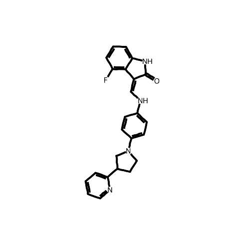 O=C1Nc2cccc(F)c2/C1=C/Nc1ccc(N2CCC(c3ccccn3)C2)cc1